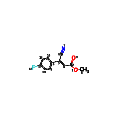 COC(=O)C=C(C#N)c1ccc(F)cc1